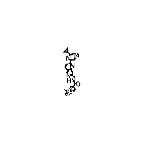 C[S+]([O-])n1ccc(C(=O)NCc2cc3nc(-c4cncc(C5CC5)n4)ccc3cn2)c1